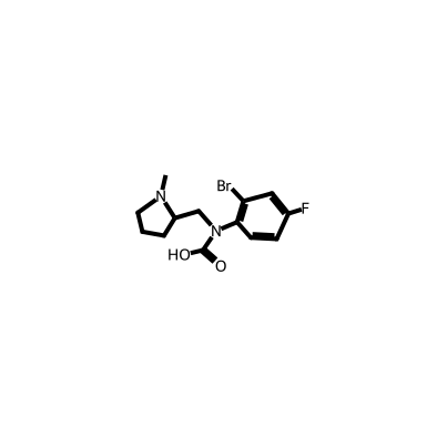 CN1CCCC1CN(C(=O)O)c1ccc(F)cc1Br